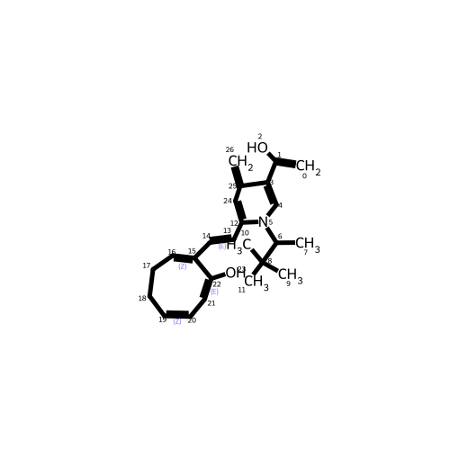 C=C(O)C1=CN(C(C)C(C)(C)C)C(/C=C/C2=C/CC\C=C/C=C\2O)=CC1=C